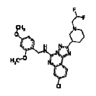 COc1ccc(CNc2nc3cc(Cl)ccc3c3nc(C4CCCN(CC(F)F)C4)nn23)c(OC)c1